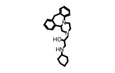 OC(CNC1CCCCC1)CN1CCN2c3ccccc3Cc3ccccc3C2C1